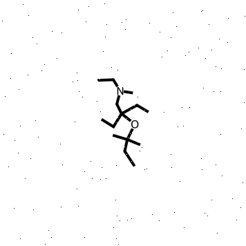 CCN(C)CC(CC)(CC)OC(C)(C)CC